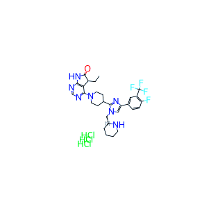 CCC1C(=O)Nc2ncnc(N3CCC(c4nc(-c5ccc(F)c(C(F)(F)F)c5)cn4C[C@@H]4CCCCN4)CC3)c21.Cl.Cl.Cl